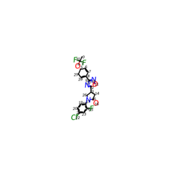 CC(F)(F)OC1C=CC(c2noc(C3CC(=O)N(c4ccc(Cl)cc4F)C3)n2)=CC1